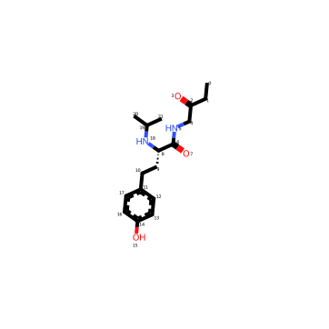 CCC(=O)CNC(=O)[C@H](CCc1ccc(O)cc1)NC(C)C